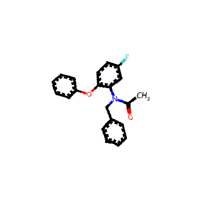 CC(=O)N(Cc1ccccc1)c1cc(F)ccc1Oc1ccccc1